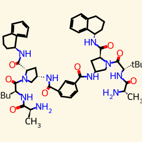 C[C@H](N)C(=O)N[C@H](C(=O)N1C[C@@H](NC(=O)c2cccc(C(=O)N[C@H]3C[C@@H](C(=O)N[C@H]4CCCc5ccccc54)N(C(=O)[C@@H](NC(=O)[C@H](C)N)C(C)(C)C)C3)c2)C[C@H]1C(=O)N[C@H]1CCCc2ccccc21)C(C)(C)C